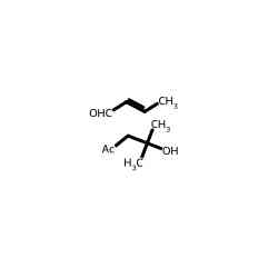 C/C=C/C=O.CC(=O)CC(C)(C)O